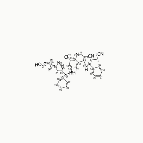 N#CCC[C@@H](Nc1c(C#N)cnc2c(Cl)cc(N[C@@H](c3ccccc3)c3cn(C(F)(F)C(=O)O)nn3)cc12)c1ccccc1